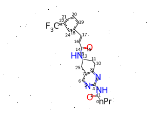 CCCC(=O)Nc1ncc2c(n1)CCC(NC(=O)C=Cc1cccc(C(F)(F)F)c1)C2